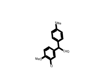 COc1ccc(C(C=O)c2ccc(SC)cc2)cc1Cl